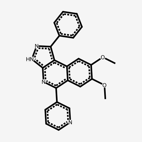 COc1cc2c(-c3cccnc3)nc3[nH]nc(-c4ccccc4)c3c2cc1OC